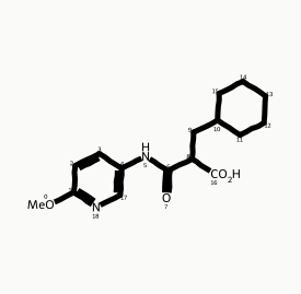 COc1ccc(NC(=O)C(CC2CCCCC2)C(=O)O)cn1